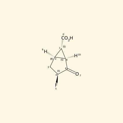 O=C(O)[C@H]1[C@@H]2C[C@H](F)C(=O)[C@@H]21